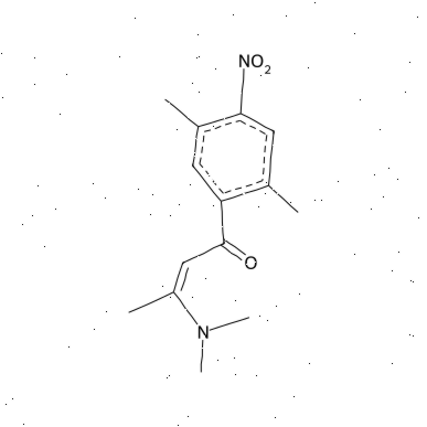 C/C(=C/C(=O)c1cc(C)c([N+](=O)[O-])cc1C)N(C)C